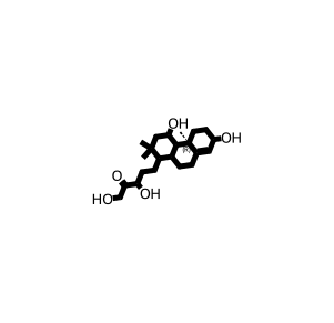 CC1(C)CC(O)C2C(CCC3=CC(O)CC[C@@]32C)C1CCC(O)C(=O)CO